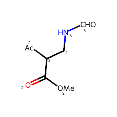 COC(=O)C(CNC=O)C(C)=O